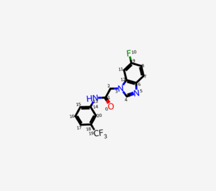 O=C(Cn1cnc2ccc(F)cc21)Nc1cccc(C(F)(F)F)c1